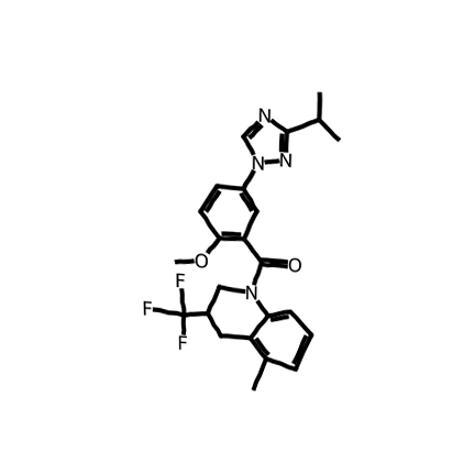 COc1ccc(-n2cnc(C(C)C)n2)cc1C(=O)N1CC(C(F)(F)F)Cc2c(C)cccc21